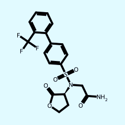 NC(=O)CN([C@H]1CCOC1=O)S(=O)(=O)c1ccc(-c2ccccc2C(F)(F)F)cc1